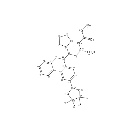 CC(C)(C)OC(=O)N[C@@H](CC(C1CCCC1)N(Cc1ccccc1)c1ccc(B2OC(C)(C)C(C)(C)O2)cc1)C(=O)O